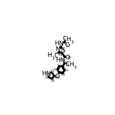 CC(=O)Nc1nc(C)c(C(=O)N[C@@H](C)c2ccc(O[C@@H]3CCNC3)cc2)s1